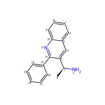 C[C@H](N)c1cc2ccccc2nc1-c1ccccc1